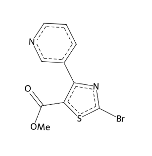 COC(=O)c1sc(Br)nc1-c1cccnc1